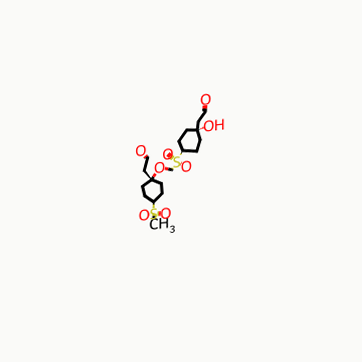 CS(=O)(=O)[C@H]1CC[C@](CC=O)(OCS(=O)(=O)[C@H]2CC[C@](O)(CC=O)CC2)CC1